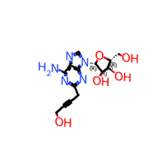 Nc1nc(CC#CCO)nc2c1ncn2[C@@H]1O[C@H](CO)[C@@H](O)[C@H]1O